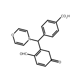 O=CC1=C(C(c2ccc(C(=O)O)cc2)N2C=COC=C2)CC(=O)C=C1